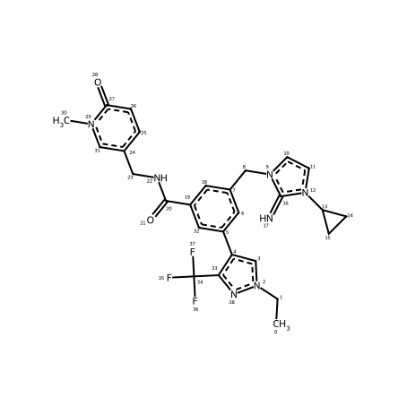 CCn1cc(-c2cc(Cn3ccn(C4CC4)c3=N)cc(C(=O)NCc3ccc(=O)n(C)c3)c2)c(C(F)(F)F)n1